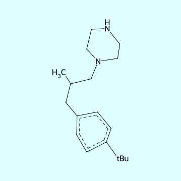 CC(Cc1ccc(C(C)(C)C)cc1)CN1CCNCC1